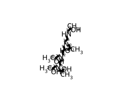 CC(O)CNCCCN(CCCCN(CCCN(CC(C)O)CC(C)O)CC(C)O)CC(C)O